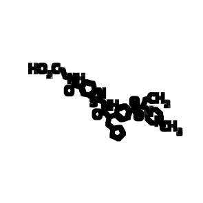 C=CC(N1CCN(C)CC1)S(=O)(=O)c1ccc(C(CC2CCCC2)C(=O)Nc2nc3ccc(C(=O)NCCC(=O)O)cc3s2)cc1